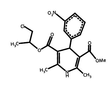 COC(=O)C1=C(C)NC(C)=C(C(=O)OC(C)CCl)C1c1cccc([N+](=O)[O-])c1